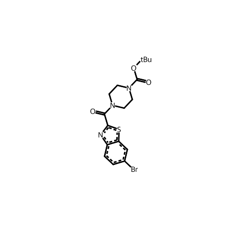 CC(C)(C)OC(=O)N1CCN(C(=O)c2nc3ccc(Br)cc3s2)CC1